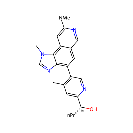 CCC[C@@H](O)c1cc(C)c(-c2cc3cnc(NC)cc3c3c2ncn3C)cn1